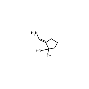 CC(C)C1(O)CCC/C1=C\N